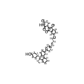 CCC(=C(c1ccc(O)cc1)c1ccc(N2CCN(CCCCOc3ccc4c(c3)C(=O)N(C3CCC(=O)NC3=O)C4=O)CC2)cc1)c1ccccc1